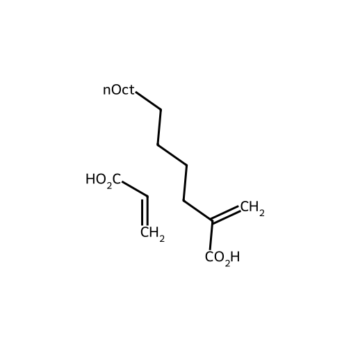 C=C(CCCCCCCCCCCC)C(=O)O.C=CC(=O)O